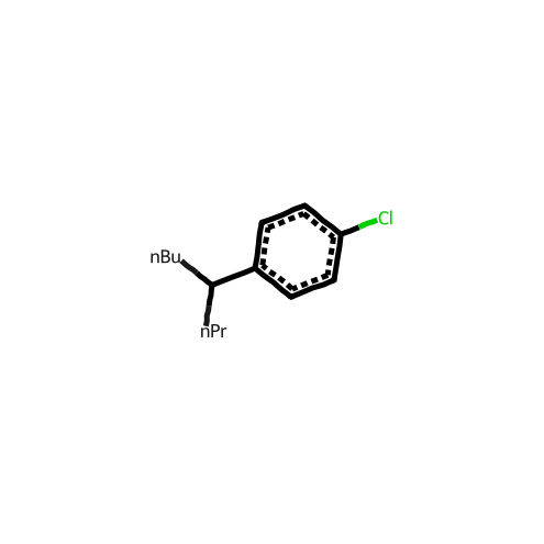 CCCCC(CCC)c1ccc(Cl)cc1